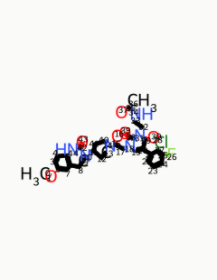 COc1ccc2c(c1)CCN(C1CCN(C(=O)Cn3cc(-c4cccc(F)c4Cl)c(=O)n(CCNC(C)=O)c3=O)CC1)C(=O)N2